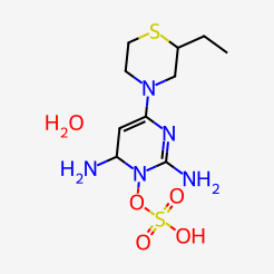 CCC1CN(C2=CC(N)N(OS(=O)(=O)O)C(N)=N2)CCS1.O